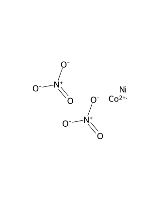 O=[N+]([O-])[O-].O=[N+]([O-])[O-].[Co+2].[Ni]